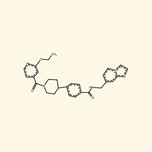 CCOc1cc(C(=O)N2CCC(c3ccc(C(=O)NCc4ccn5ccnc5c4)cc3)CC2)ccn1